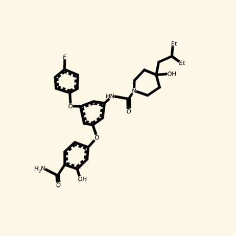 CCC(CC)CC1(O)CCN(C(=O)Nc2cc(Oc3ccc(F)cc3)cc(Oc3ccc(C(N)=O)c(O)c3)c2)CC1